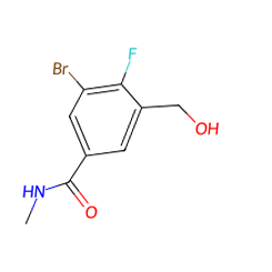 CNC(=O)c1cc(Br)c(F)c(CO)c1